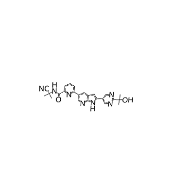 CC(C)(C#N)NC(=O)c1cccc(-c2cnc3[nH]c(-c4cnc(C(C)(C)O)nc4)cc3c2)n1